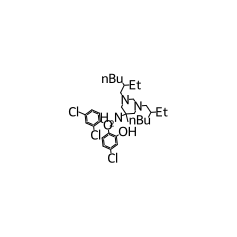 CCCCC(CC)CN1CN(CC(CC)CCCC)CC(C)(N)C1.Oc1cc(Cl)ccc1Oc1ccc(Cl)cc1Cl